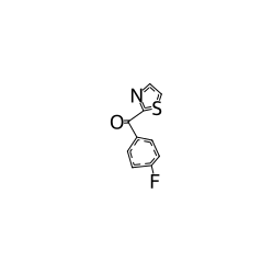 O=C(c1ccc(F)cc1)c1nccs1